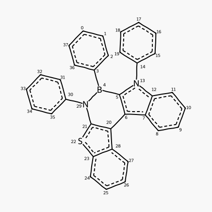 c1ccc(B2c3c(c4ccccc4n3-c3ccccc3)-c3c(sc4ccccc34)N2c2ccccc2)cc1